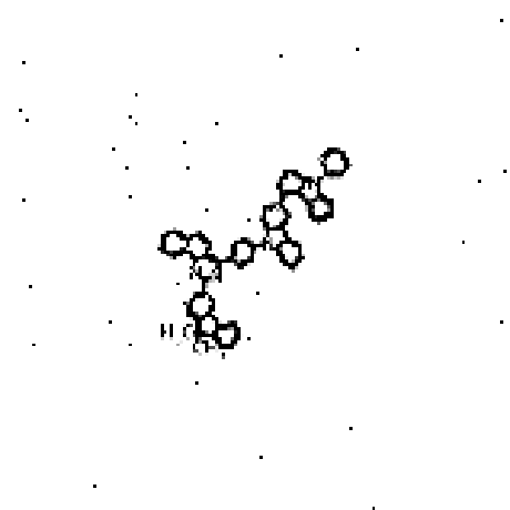 CC1(C)c2ccccc2-c2cc(-c3nc(-c4ccc(-n5c6ccccc6c6cc(-c7cccc8c7c7ccccc7n8-c7ccccc7)ccc65)cc4)c4ccc5ccccc5c4n3)ccc21